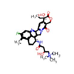 CC[C@@]1(O)C(=O)OCc2c1cc1n(c2=O)Cc2c-1nc1cc(F)c(C)c3c1c2[C@@H](NC(=O)CC(O)C[N+](C)(C)C)CC3